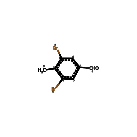 Cc1c(Br)cc(C=O)cc1Br